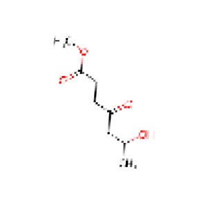 COC(=O)CCC(=O)CC(C)O